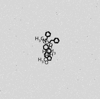 CN(Cc1ccccc1)C[C@@]1(OC(=O)Cc2ccccc2)CC[C@@]2(C)[C@@H](CC[C@@H]3[C@@H]2CC[C@]2(C)C(=O)CC[C@@H]32)C1